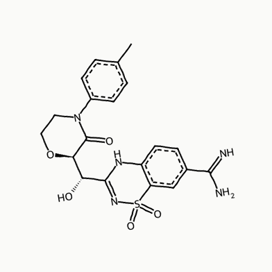 Cc1ccc(N2CCO[C@H]([C@@H](O)C3=NS(=O)(=O)c4cc(C(=N)N)ccc4N3)C2=O)cc1